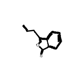 C=CC[C]1OC(=O)c2ccccc21